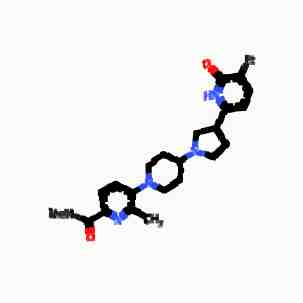 CCc1ccc(C2CCN(C3CCN(c4ccc(C(=O)NC)nc4C)CC3)C2)[nH]c1=O